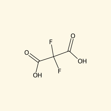 O=C(O)C(F)(F)C(=O)O